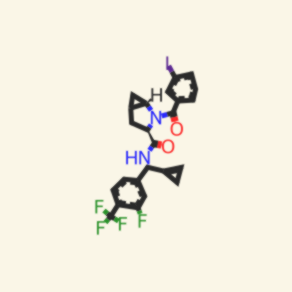 O=C(N[C@H](C1=CC1)c1ccc(C(F)(F)F)c(F)c1)[C@H]1CC2C[C@H]2N1C(=O)c1cccc(I)c1